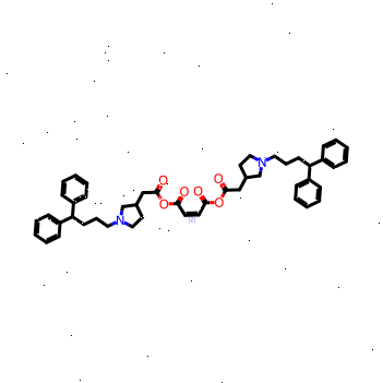 O=C(/C=C\C(=O)OC(=O)CC1CCN(CCCC(c2ccccc2)c2ccccc2)C1)OC(=O)CC1CCN(CCCC(c2ccccc2)c2ccccc2)C1